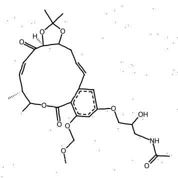 COCOc1cc(OCC(O)CNC(C)=O)cc2c1C(=O)OC(C)[C@H](C)/C=C\C(=O)[C@H]1OC(C)(C)OC1C/C=C/2